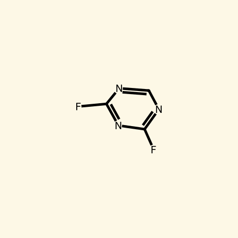 Fc1ncnc(F)n1